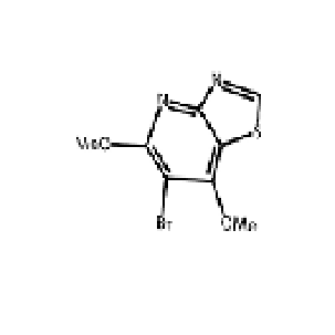 COc1nc2ncsc2c(OC)c1Br